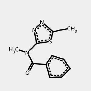 Cc1nnc(N(C)C(=O)c2ccccc2)s1